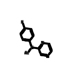 CC(=O)N(c1ccc(F)cc1)c1cnccn1